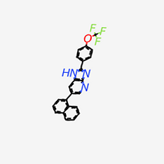 FC(F)(F)Oc1ccc(-c2nc3ncc(-c4cccc5ccccc45)cc3[nH]2)cc1